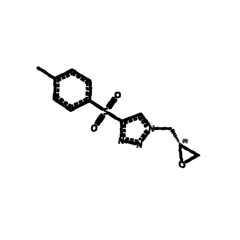 Cc1ccc(S(=O)(=O)c2cn(C[C@@H]3CO3)nn2)cc1